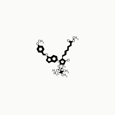 COC(=O)CCCC=CC[C@@H]1[C@@H](c2ccc3c(c2)CCC3OCc2ccc(OC)cc2)[C@H](O[Si](C)(C)C(C)(C)C)C[C@H]1Cl